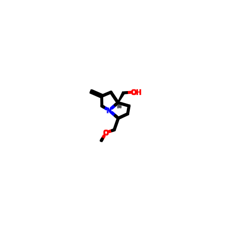 C=C1CN2C(COC)CC[C@@]2(CO)C1